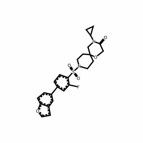 O=C1COC2(CCN(S(=O)(=O)c3ccc(-c4ccc5occc5c4)cc3F)CC2)CN1C1CC1